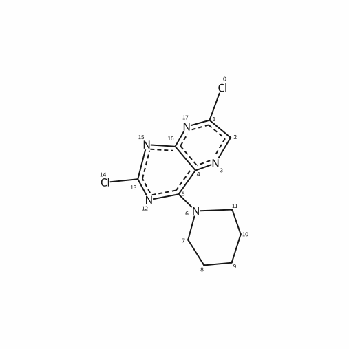 Clc1cnc2c(N3CCCCC3)nc(Cl)nc2n1